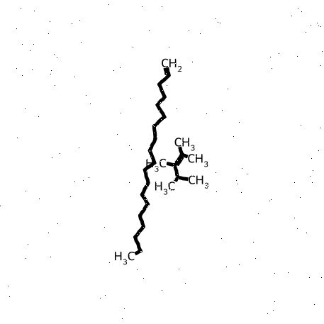 C=CCCCCCCCCCCCCCCCCC.CC(C)=C(C)C(C)C